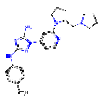 Nc1nc(Nc2ccc(C(=O)O)cc2)nn1-c1ccnc(N2CCCC2CN2CCCC2)c1